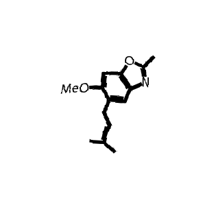 COc1cc2oc(C)nc2cc1CC=C(C)C